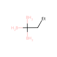 BC(B)(B)CCC